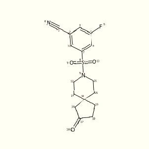 N#Cc1cc(F)cc(S(=O)(=O)N2CCC3(CCC(=O)C3)CC2)c1